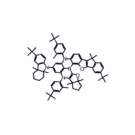 Cc1cc(C(C)(C)C)ccc1N1C2=C(OC3(C)CCCC23C)B2c3c1cc(N1c4ccc(C(C)(C)C)cc4C4(C)CCCCC14C)cc3N(c1ccc(C(C)(C)C)cc1C)c1ccc3c4c(oc3c12)-c1cc(C(C)(C)C)ccc1C4(C)C